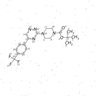 CC(C)(C)OC(=O)N1CCN(c2nncc(-c3ccc(C(F)(F)F)cc3)n2)CC1